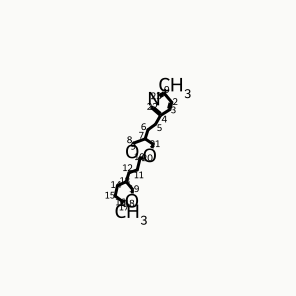 Cc1ccc(CCC2COC(CCC3CCC(C)OC3)OC2)cn1